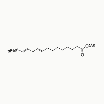 CCCCCC=CC/C=C/CCCCCCCC(=O)OC